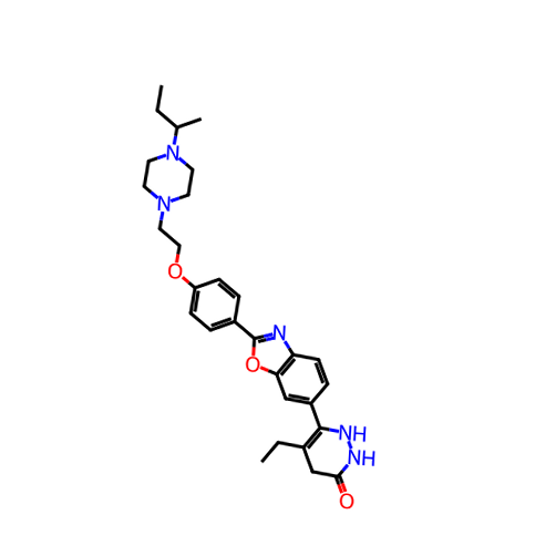 CCC1=C(c2ccc3nc(-c4ccc(OCCN5CCN(C(C)CC)CC5)cc4)oc3c2)NNC(=O)C1